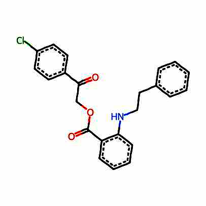 O=C(COC(=O)c1ccccc1NCCc1ccccc1)c1ccc(Cl)cc1